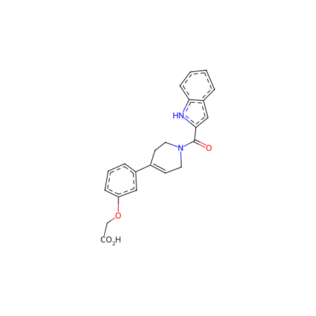 O=C(O)COc1cccc(C2=CCN(C(=O)c3cc4ccccc4[nH]3)CC2)c1